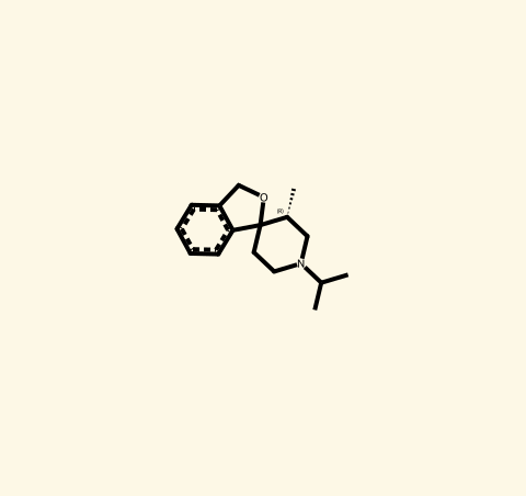 CC(C)N1CCC2(OCc3ccccc32)[C@H](C)C1